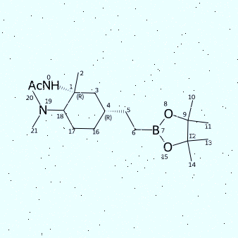 CC(=O)N[C@]1(C)C[C@H](CCB2OC(C)(C)C(C)(C)O2)CCC1N(C)C